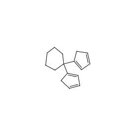 C1=CCC(C2(C3=CC=CC3)CCCCC2)=C1